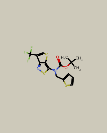 CC(C)(C)OC(=O)N(Cc1cccs1)c1snc2c(C(F)(F)F)csc12